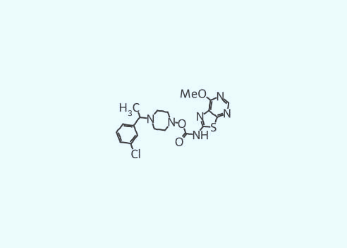 COc1ncnc2sc(NC(=O)ON3CCN(C(C)c4cccc(Cl)c4)CC3)nc12